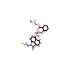 CCOC(=O)c1ccccc1CNS(=O)(=O)c1ccc2c3c(cccc13)C(=O)N2CC